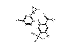 O=C(O)c1cc(Cl)c(C(F)(F)F)cc1Cc1ccc(F)cc1C1CC1